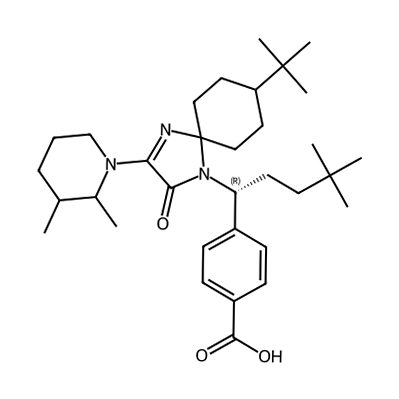 CC1CCCN(C2=NC3(CCC(C(C)(C)C)CC3)N([C@H](CCC(C)(C)C)c3ccc(C(=O)O)cc3)C2=O)C1C